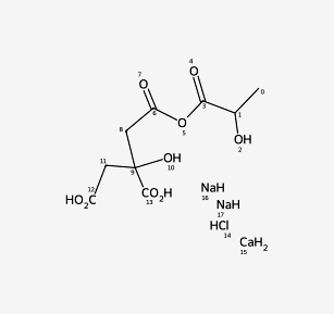 CC(O)C(=O)OC(=O)CC(O)(CC(=O)O)C(=O)O.Cl.[CaH2].[NaH].[NaH]